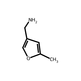 Cc1cc(CN)co1